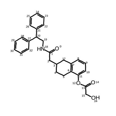 O=C(CC1CCc2c(cccc2OC(=O)CO)C1)NCC(c1ccccc1)c1ccccc1